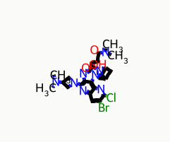 CN(C)C(=O)CCc1nc2c(N3CC(N(C)C)C3)nc3cc(Br)c(Cl)nc3c2n1C1C2CC1N(C(=O)O)C2